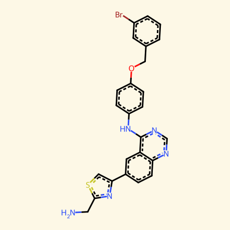 NCc1nc(-c2ccc3ncnc(Nc4ccc(OCc5cccc(Br)c5)cc4)c3c2)cs1